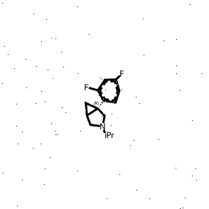 CC(C)N1CC2C[C@@]2(c2ccc(F)cc2F)C1